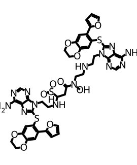 Nc1ncnc2c1nc(Sc1cc3c(cc1-c1ccco1)OCCO3)n2CCNCCN(O)C(=O)CC(NCCn1c(Sc2cc3c(cc2-c2ccco2)OCCO3)nc2c(N)ncnc21)[SH](=O)=O